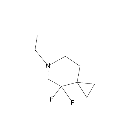 CCN1CCC2(CC2)C(F)(F)C1